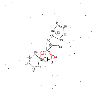 CC1(OC(=O)C2CC3C4C=CC(C4)C3C2)CCCCC1